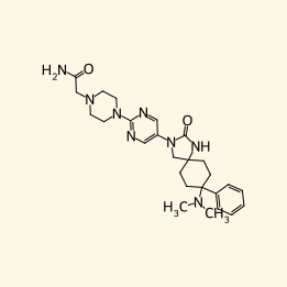 CN(C)C1(c2ccccc2)CCC2(CC1)CN(c1cnc(N3CCN(CC(N)=O)CC3)nc1)C(=O)N2